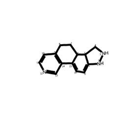 C1=C2NNCC2C2CCc3ccncc3C2=C1